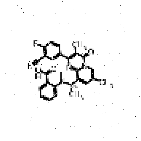 Cc1cc([C@H](C)Nc2ccccc2C(=O)O)c2nc(-c3ccc(F)c(C#N)c3)c(C)c(=O)n2c1